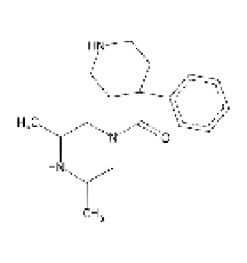 CC1CN(C(=O)C2(c3ccccc3)CCNCC2)CC(C)N1